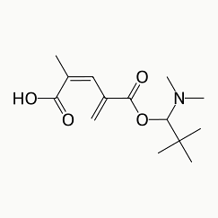 C=C(C=C(C)C(=O)O)C(=O)OC(N(C)C)C(C)(C)C